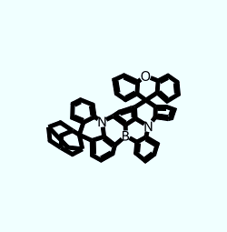 c1ccc2c(c1)Oc1ccccc1C21c2ccccc2N2c3ccccc3B3c4cccc5c4N(c4ccccc4C54C5CC6CC(C5)CC4C6)c4ccc1c2c43